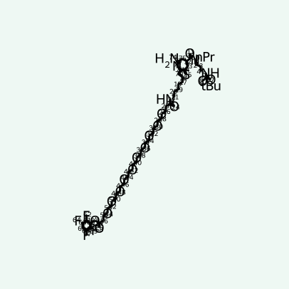 CCCN(CCCNC(=O)OC(C)(C)C)C(=O)C1=Cc2sc(CCCCCNC(=O)CCOCCOCCOCCOCCOCCOCCOCCOCCOCCOCCC(=O)Oc3c(F)c(F)cc(F)c3F)cc2N=C(N)C1